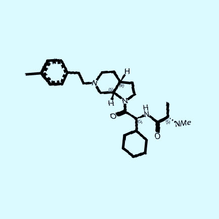 CN[C@@H](C)C(=O)N[C@H](C(=O)N1CC[C@H]2CCN(CCc3ccc(C)cc3)C[C@H]21)C1CCCCC1